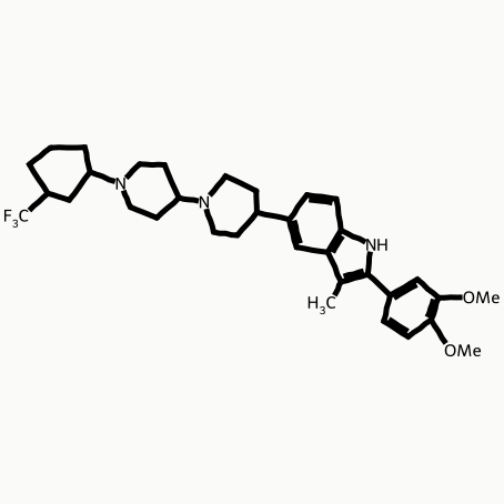 COc1ccc(-c2[nH]c3ccc(C4CCN(C5CCN(C6CCCC(C(F)(F)F)C6)CC5)CC4)cc3c2C)cc1OC